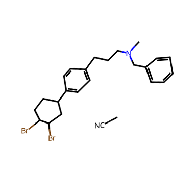 CC#N.CN(CCCc1ccc(C2CCC(Br)C(Br)C2)cc1)Cc1ccccc1